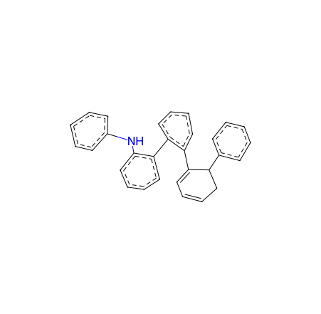 C1=CCC(c2ccccc2)C(c2ccccc2-c2ccccc2Nc2ccccc2)=C1